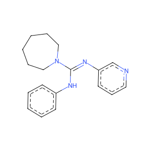 c1ccc(NC(=Nc2cccnc2)N2CCCCCC2)cc1